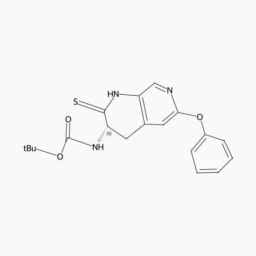 CC(C)(C)OC(=O)N[C@H]1Cc2cc(Oc3ccccc3)ncc2NC1=S